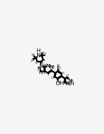 CC1(C)CC(n2nnc3cc(-c4cc(O)c(-c5cn[nH]c5)cc4F)nnc32)CC(C)(C)N1